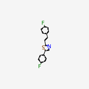 Fc1ccc(/C=C/c2ncc(-c3ccc(F)cc3)s2)cc1